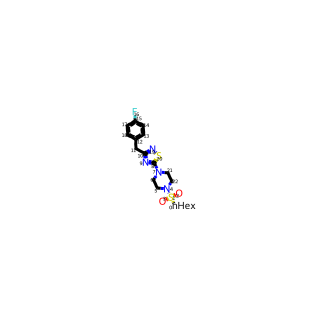 CCCCCCS(=O)(=O)N1CCN(c2nc(Cc3ccc(F)cc3)ns2)CC1